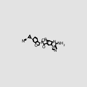 CN(C(=O)c1cc2c(cc1F)nc(N)c1cncn12)[C@@H]1COc2cc([C@@H]3C[C@H]3C#N)ccc21